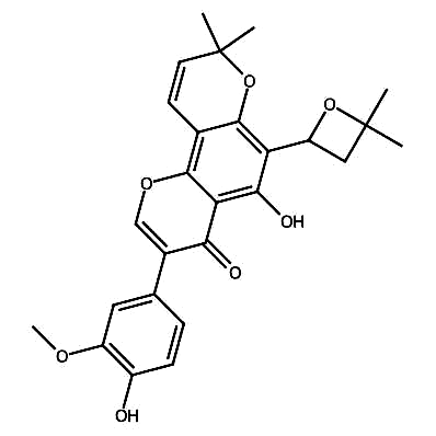 COc1cc(-c2coc3c4c(c(C5CC(C)(C)O5)c(O)c3c2=O)OC(C)(C)C=C4)ccc1O